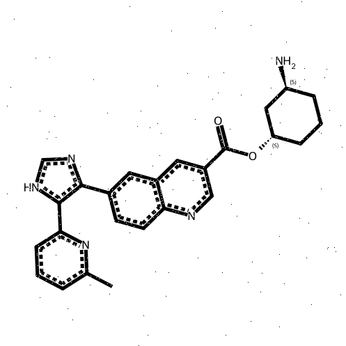 Cc1cccc(-c2[nH]cnc2-c2ccc3ncc(C(=O)O[C@H]4CCC[C@H](N)C4)cc3c2)n1